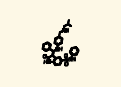 CC(C)CNCc1ccc(NC(=C2C(=O)Nc3ccc(S(=O)(=O)Nc4ccccc4)cc32)c2ccccc2)cc1